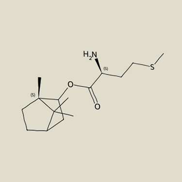 CSCC[C@H](N)C(=O)OC1CC2CC[C@@]1(C)C2(C)C